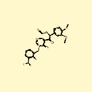 COc1ccc(C(OC=O)C(=O)c2cncn(Cc3cccc(C(F)F)c3C)c2=O)cc1OC